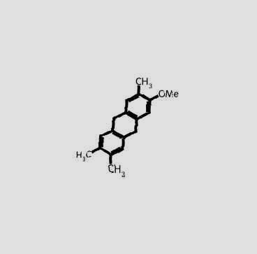 COc1cc2c(cc1C)Cc1cc(C)c(C)cc1C2